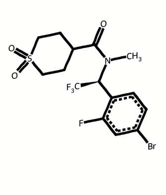 CN(C(=O)C1CCS(=O)(=O)CC1)[C@@H](c1ccc(Br)cc1F)C(F)(F)F